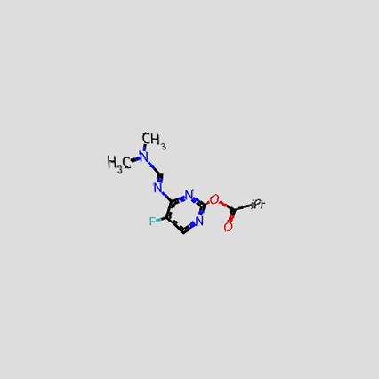 CC(C)C(=O)Oc1ncc(F)c(/N=C/N(C)C)n1